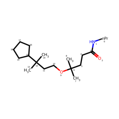 CCCNC(=O)CCC(C)(C)OCCC(C)(C)C1CCCC1